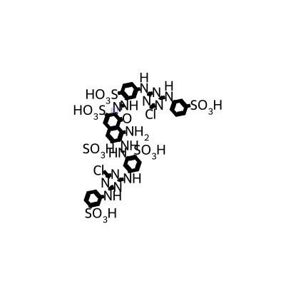 Nc1c(NNc2cc(Nc3nc(Cl)nc(Nc4cccc(S(=O)(=O)O)c4)n3)ccc2S(=O)(=O)O)c(S(=O)(=O)O)cc2c1C(=O)/C(=N\Nc1cc(Nc3nc(Cl)nc(Nc4cccc(S(=O)(=O)O)c4)n3)ccc1S(=O)(=O)O)C(S(=O)(=O)O)=C2